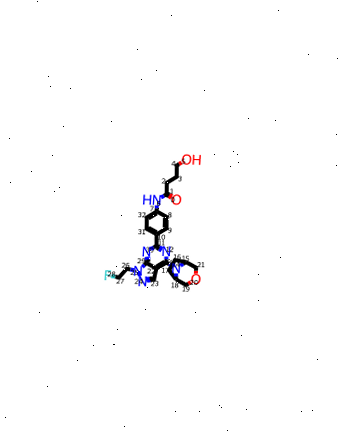 O=C(CCCO)Nc1ccc(-c2nc(N3C4CCC3COC4)c3cnn(CCF)c3n2)cc1